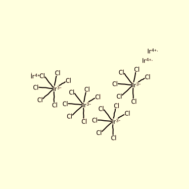 [Cl][Ir-3]([Cl])([Cl])([Cl])([Cl])[Cl].[Cl][Ir-3]([Cl])([Cl])([Cl])([Cl])[Cl].[Cl][Ir-3]([Cl])([Cl])([Cl])([Cl])[Cl].[Cl][Ir-3]([Cl])([Cl])([Cl])([Cl])[Cl].[Ir+4].[Ir+4].[Ir+4]